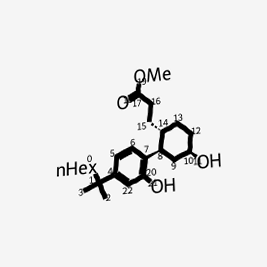 CCCCCCC(C)(C)c1ccc([C@@H]2C[C@H](O)CC[C@H]2CCC(=O)OC)c(O)c1